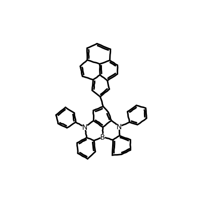 c1ccc(N2c3ccccc3B3c4ccccc4N(c4ccccc4)c4cc(-c5cc6ccc7cccc8ccc(c5)c6c78)cc2c43)cc1